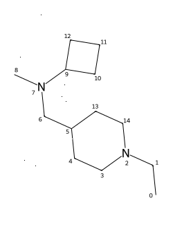 CCN1CCC(CN(C)C2CCC2)CC1